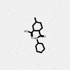 CC1CCC(C(=O)NC2CCCCC2)C(C(=O)O)C1